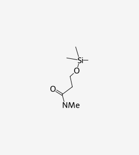 CNC(=O)CCO[Si](C)(C)C